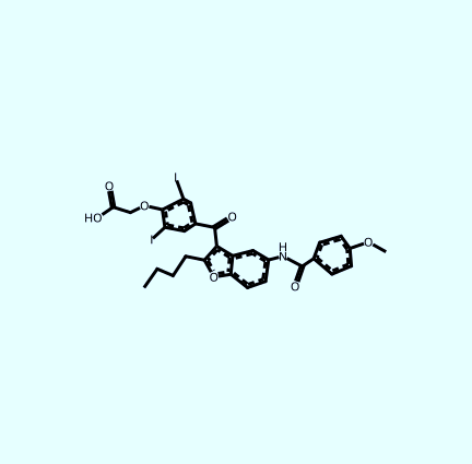 CCCCc1oc2ccc(NC(=O)c3ccc(OC)cc3)cc2c1C(=O)c1cc(I)c(OCC(=O)O)c(I)c1